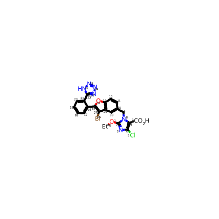 CCOc1nc(Cl)c(C(=O)O)n1Cc1ccc2oc(-c3ccccc3-c3nnn[nH]3)c(Br)c2c1